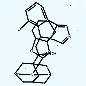 OC(CC1c2c(F)cccc2-c2cncn21)C12CC3CC(C1)N(C1=NC4CCCCC4O1)C(C3)C2